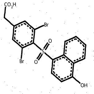 O=C(O)Cc1cc(Br)c(S(=O)(=O)c2ccc(O)c3ccccc23)c(Br)c1